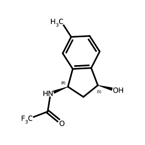 Cc1ccc2c(c1)[C@H](NC(=O)C(F)(F)F)C[C@@H]2O